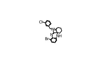 Clc1cccc(CNC2=Nc3c(Br)cccc3NC23CCCCC3)c1